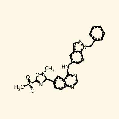 CN1OC(S(C)(=O)=O)=NC1c1ccc2ncnc(Nc3ccc4c(cnn4Cc4ccccc4)c3)c2c1